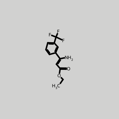 CCOC(=O)C=C(N)c1cccc(C(F)(F)F)c1